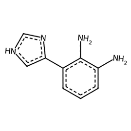 Nc1cccc(-c2c[nH]cn2)c1N